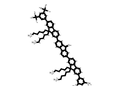 CCCCCCC1(CCCCCC)c2cc(-c3cc(C)cc(C)c3)ccc2-c2ccc(-c3ccc4c(c3)C(=O)c3cc(-c5ccc6c(c5)C(CCCCCC)(CCCCCC)c5cc(-c7cc(C(F)(F)F)cc(C(F)(F)F)c7)ccc5-6)ccc3-4)cc21